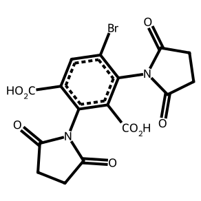 O=C(O)c1cc(Br)c(N2C(=O)CCC2=O)c(C(=O)O)c1N1C(=O)CCC1=O